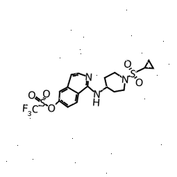 O=S(=O)(C1CC1)N1CCC(Nc2nccc3cc(OS(=O)(=O)C(F)(F)F)ccc23)CC1